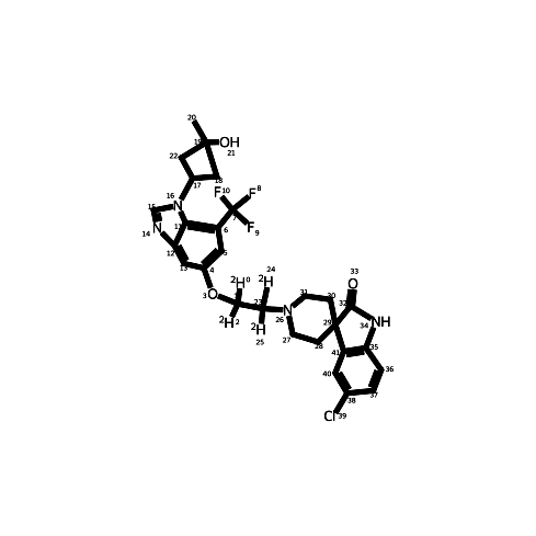 [2H]C([2H])(Oc1cc(C(F)(F)F)c2c(c1)ncn2C1CC(C)(O)C1)C([2H])([2H])N1CCC2(CC1)C(=O)Nc1ccc(Cl)cc12